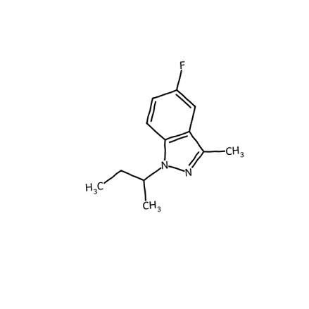 CCC(C)n1nc(C)c2cc(F)ccc21